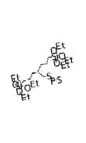 CCO[Si](CCCC(CCC[Si](OCC)(OCC)OCC)CSP=S)(OCC)OCC